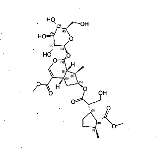 COC(=O)C1=CO[C@@H](O[C@@H]2O[C@H](CO)[C@@H](O)[C@H](O)[C@H]2O)[C@@H]2[C@@H](C)[C@@H](OC(=O)C(CO)[C@H]3CC[C@H](C)[C@H]3C(=O)OC)C[C@H]12